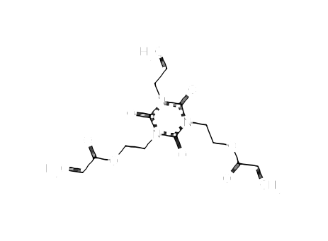 C=CCn1c(=O)n(CCOC(=O)C=C)c(=O)n(CCOC(=O)C=C)c1=O